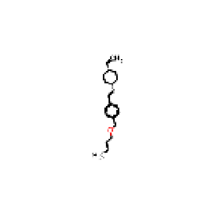 C=C[C@H]1CC[C@H](C=Cc2ccc(COCCCC)cc2)CC1